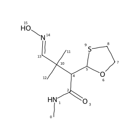 CNC(=O)C(C1OCCS1)C(C)(C)C=NO